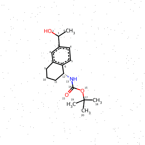 CC(O)c1ccc2c(c1)CCC[C@H]2NC(=O)OC(C)(C)C